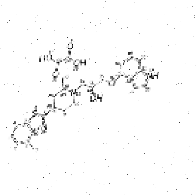 Cc1cccc2sc([C@@H]3CCN(C[C@H](O)COc4cccc5[nH]ccc45)[C@H](C)C3)nc12.O=C(O)C(=O)O